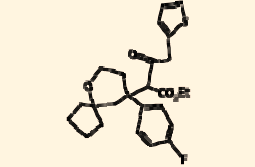 CCOC(=O)C(C(=O)Cc1cccs1)C1(c2ccc(F)cc2)CCOC2(CCCC2)C1